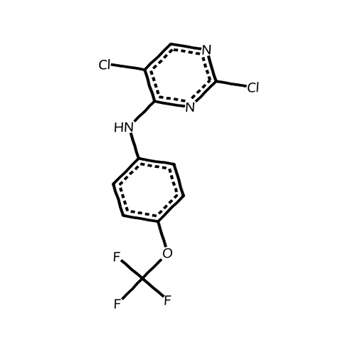 FC(F)(F)Oc1ccc(Nc2nc(Cl)ncc2Cl)cc1